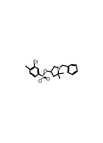 CCc1cc(S(=O)(=O)OC2CN(Cc3ccccc3)C(C)(C)C2)ccc1C